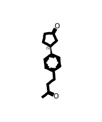 CC(=O)CCc1ccc([C@H]2CCC(=O)C2)cc1